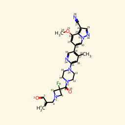 C=C(C=O)CN1CC(F)(C(=O)N2CCN(c3cc(C)c(-c4cc(OC)c5c(C#N)cnn5c4)cn3)CC2)C1